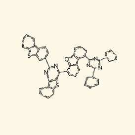 c1ccc(-c2nc(-c3ccccc3)nc(-c3cccc4oc5c(-c6nc(-c7ccc8c(c7)sc7ccccc78)nc7c6sc6ccccc67)cccc5c34)n2)cc1